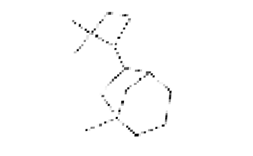 CC12CCCC(C1)C(C1CCC1(C)C)C2